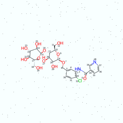 O=C(Nc1cc(CO[C@@H]2O[C@H](CO)[C@@H](O[C@H]3O[C@H](CO)[C@@H](O)[C@H](O)[C@H]3O)[C@H](O)[C@H]2O)ccc1Cl)c1cccnc1